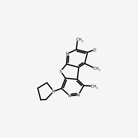 Cc1nc2sc3c(N4CCCC4)nnc(C)c3c2c(C)c1Cl